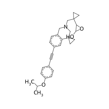 CC(C)Oc1ccc(C#Cc2ccc3c(c2)C2(CC2)CN(CC2(C4OC4O)CC2)C3)cc1